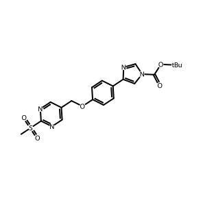 CC(C)(C)OC(=O)n1cnc(-c2ccc(OCc3cnc(S(C)(=O)=O)nc3)cc2)c1